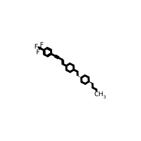 CCCC[C@H]1CC[C@H](CCC2CCC(/C=C/C#Cc3ccc(C(F)(F)F)cc3)CC2)CC1